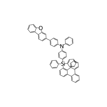 c1ccc(N(c2ccc(-c3ccc4c(c3)oc3ccccc34)cc2)c2ccc([Si](c3ccccc3)(c3ccccc3)c3cccc4c5ccccc5c5ccccc5c34)cc2)cc1